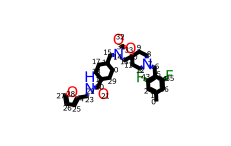 Cc1cc(F)c(CN2CCC3(CC2)CN(CC2CCC(C(=O)NCc4ccco4)CC2)C(=O)O3)c(F)c1